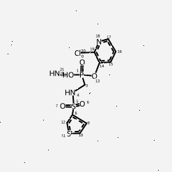 O=P(O)(CNS(=O)(=O)c1ccsc1)Oc1cccnc1Cl.[NaH]